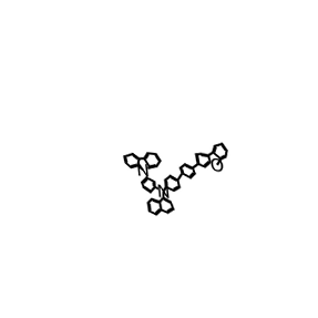 c1cc(N(c2ccc(-c3ccc(-c4ccc5c(c4)oc4ccccc45)cc3)cc2)c2cccc3ccccc23)cc(-n2c3ccccc3c3ccccc32)c1